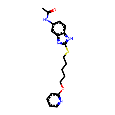 CC(=O)Nc1ccc2[nH]c(SCCCCCOc3ccccn3)nc2c1